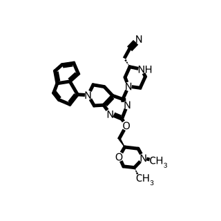 C[C@@H]1CO[C@@H](COc2nc3c(c(N4CCN[C@@H](CC#N)C4)n2)CCN(c2cccc4ccccc24)C3)CN1C